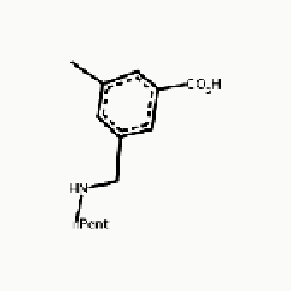 CCCCCNCc1cc(C)cc(C(=O)O)c1